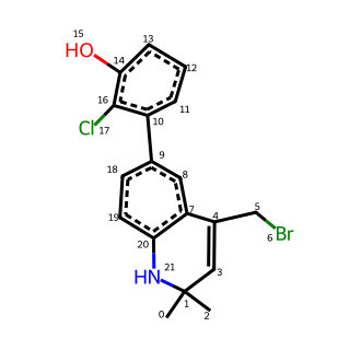 CC1(C)C=C(CBr)c2cc(-c3cccc(O)c3Cl)ccc2N1